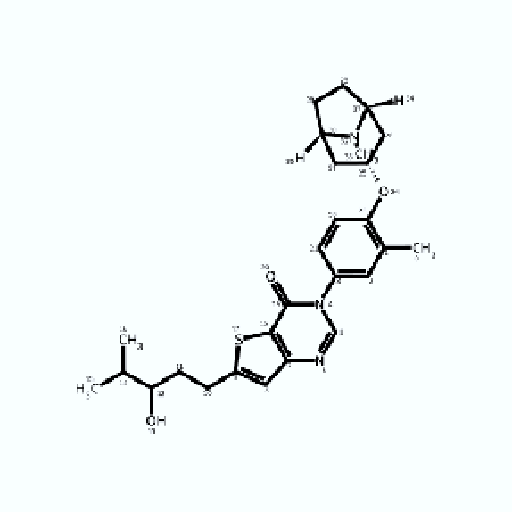 Cc1cc(-n2cnc3cc(CCC(O)C(C)C)sc3c2=O)ccc1O[C@H]1C[C@H]2CC[C@@H](C1)N2C